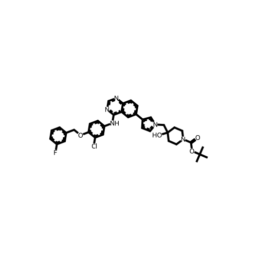 CC(C)(C)OC(=O)N1CCC(O)(Cn2ccc(-c3ccc4ncnc(Nc5ccc(OCc6cccc(F)c6)c(Cl)c5)c4c3)c2)CC1